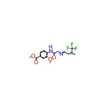 COC(=O)c1ccc(NC(=O)CN=CC[C@H](C)C(F)(F)F)c(OC)c1